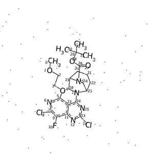 COCCOc1nc(Cl)c(F)c2nc(Cl)nc(N3CC4CCCC3CN4C(=O)OC(C)(C)C)c12